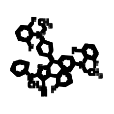 CCN(c1ccc(C(=C2C=CC(=[N+](CC)c3c(F)cccc3F)C=C2)c2sc(N(C)c3ccccc3)c(C#N)c2-c2ccccc2F)cc1)c1c(F)cccc1F